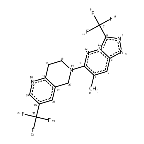 Cc1cc2nnc(C(F)(F)F)n2nc1N1CCc2ncc(C(F)(F)F)cc2C1